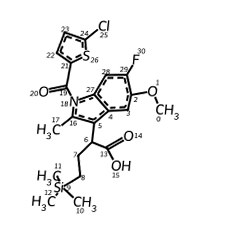 COc1cc2c(C(CC[Si](C)(C)C)C(=O)O)c(C)n(C(=O)c3ccc(Cl)s3)c2cc1F